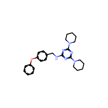 c1ccc(Oc2ccc(CNc3nc(N4CCCCC4)nc(N4CCCCC4)n3)cc2)cc1